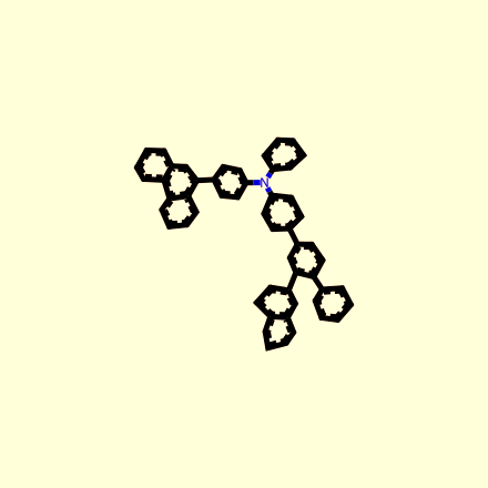 c1ccc(-c2ccc(-c3ccc(N(c4ccccc4)c4ccc(-c5cc6ccccc6c6ccccc56)cc4)cc3)cc2-c2ccc3ccccc3c2)cc1